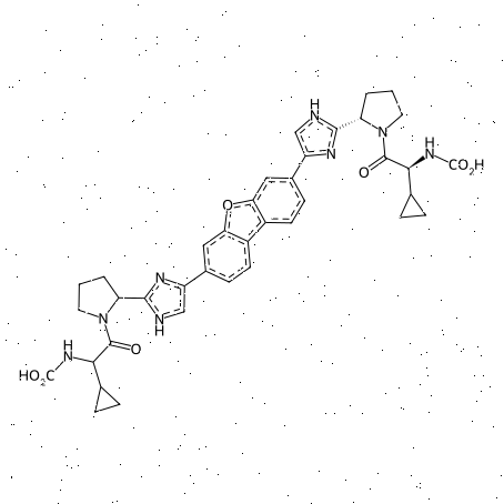 O=C(O)NC(C(=O)N1CCCC1c1nc(-c2ccc3c(c2)oc2cc(-c4c[nH]c([C@@H]5CCCN5C(=O)[C@@H](NC(=O)O)C5CC5)n4)ccc23)c[nH]1)C1CC1